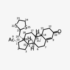 CC(=O)[C@H]1CC[C@H]2[C@@H]3CCC4=CC(=O)CC[C@]4(C)[C@H]3CC[C@]12CC1SCCS1